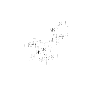 Cc1cn2c(Nc3cc(C)[nH]n3)nc(-c3cnn(Cc4cc(Cl)ccc4Cl)c3)cc2n1.Cc1cn2c(Nc3cc(C4CC4)[nH]n3)nc(-c3cnn(CCN4CCOCC4)c3)cc2n1.Cc1cn2c(Nc3cc(C4CC4)[nH]n3)nc(-c3cnn(Cc4cccc(N)c4)c3)cc2n1